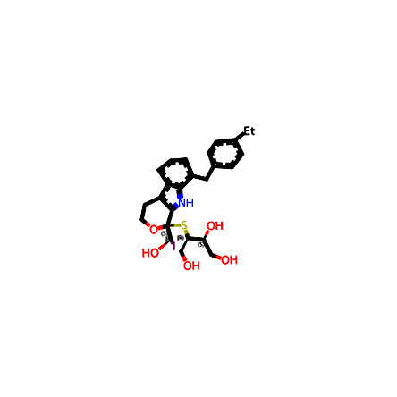 CCc1ccc(Cc2cccc3c4c([nH]c23)[C@](S[C@H](CO)[C@@H](O)CO)([C@H](O)I)OCC4)cc1